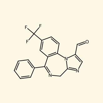 O=Cc1cnc2n1-c1ccc(C(F)(F)F)cc1C(c1ccccc1)=NC2